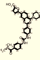 CN(C)C(=O)c1ccc(NC(=O)Nc2ccc(-c3nc(N4CCOCC4)c4ccc(-c5ccc(C(=O)O)o5)cc4n3)cc2)cc1